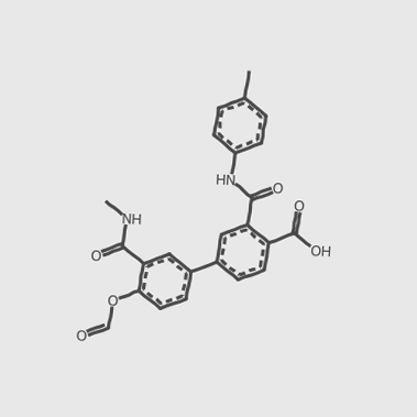 CNC(=O)c1cc(-c2ccc(C(=O)O)c(C(=O)Nc3ccc(C)cc3)c2)ccc1OC=O